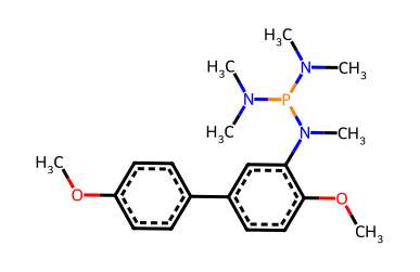 COc1ccc(-c2ccc(OC)c(N(C)P(N(C)C)N(C)C)c2)cc1